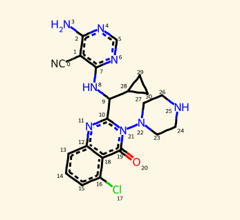 N#Cc1c(N)ncnc1NC(c1nc2cccc(Cl)c2c(=O)n1N1CCNCC1)C1CC1